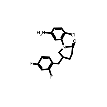 Nc1ccc(Cl)c(N2CC(Cc3ccc(F)cc3F)CCC2=O)c1